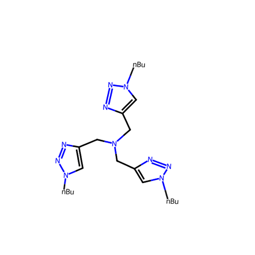 CCCCn1cc(CN(Cc2cn(CCCC)nn2)Cc2cn(CCCC)nn2)nn1